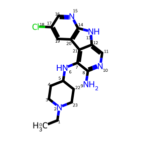 CCN1CCC(Nc2c(N)ncc3[nH]c4ncc(Cl)cc4c23)CC1